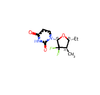 CC[C@H]1O[C@@H](n2ccc(=O)[nH]c2=O)C(F)(F)[C@@H]1C